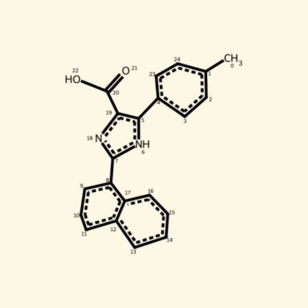 Cc1ccc(-c2[nH]c(-c3cccc4ccccc34)nc2C(=O)O)cc1